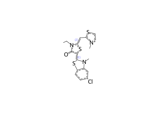 CCn1c(=O)/c(=C2\Sc3ccc(Cl)cc3N2C)s/c1=C\c1scc[n+]1C